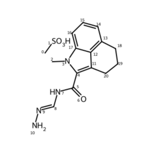 CS(=O)(=O)O.Cn1c(C(=O)NC=NN)c2c3c(cccc31)CCC2